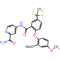 COc1cc(OC(F)(F)F)ccc1Oc1ccc(C(F)(F)C(F)(F)F)cc1C(=O)Nc1ccnc(C(N)=O)c1